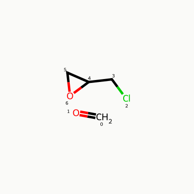 C=O.ClCC1CO1